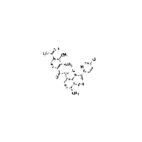 CC(=N)c1ccc(C(=O)Nc2ccc(C)c(O)c2C(=O)Nc2ccc(Cl)cn2)c(N)c1C